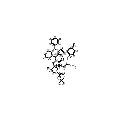 C[C@@H](CN)NC(=O)N(CC1CN(C(=O)OC(C)(C)C)CC1F)C(c1nc(-c2cc(F)ccc2F)cn1Cc1ccccc1)C1CCOCC1